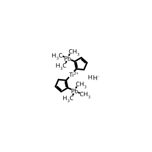 [CH3][Pb]([CH3])([CH3])[C]1=[C]([Ti+2][C]2=[C]([Pb]([CH3])([CH3])[CH3])C=CC2)CC=C1.[H-].[H-]